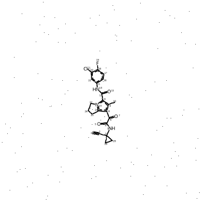 C#CC1(NC(=O)C(=O)c2c(C)c(C(=O)Nc3ccc(F)c(Cl)c3)n3c2CCC3)CC1